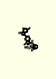 Cn1cc(N[C@H]2C3CCC(CC3)[C@@H]2C(=O)O)c2cnc(-c3c[nH]c4ncc(F)cc34)nc21